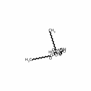 CCCCCCCCCCCCCC(=O)OC[C@H]1O[C@@H](n2ncc3c(=O)[nH]cnc32)[C@H](OC(=O)CCCCCCCCCCCCC)[C@@H]1O